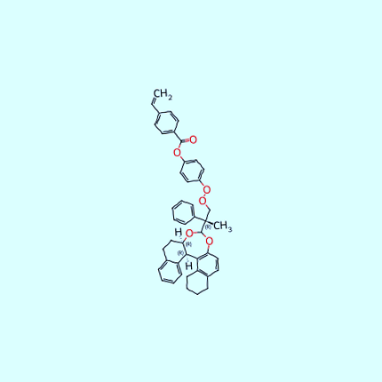 C=Cc1ccc(C(=O)Oc2ccc(OOC[C@@](C)(c3ccccc3)C3Oc4ccc5c(c4[C@H]4c6ccccc6CC[C@H]4O3)CCCC5)cc2)cc1